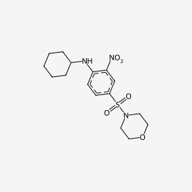 O=[N+]([O-])c1cc(S(=O)(=O)N2CCOCC2)ccc1NC1CCCCC1